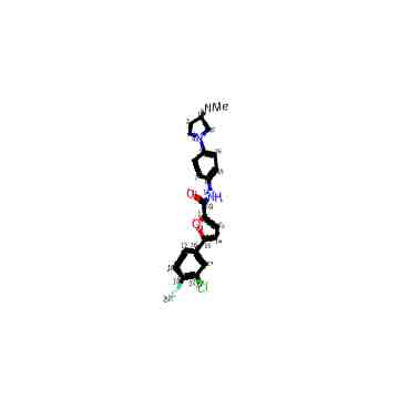 CNC1CCN(c2ccc(NC(=O)c3ccc(-c4ccc(F)c(Cl)c4)o3)cc2)C1